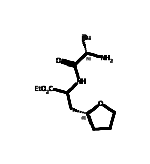 CCOC(=O)C(C[C@H]1CCCO1)NC(=O)[C@@H](N)C(C)CC